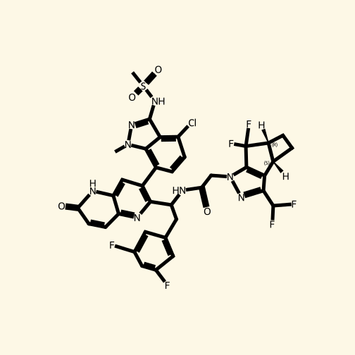 Cn1nc(NS(C)(=O)=O)c2c(Cl)ccc(-c3cc4[nH]c(=O)ccc4nc3C(Cc3cc(F)cc(F)c3)NC(=O)Cn3nc(C(F)F)c4c3C(F)(F)[C@@H]3CC[C@H]43)c21